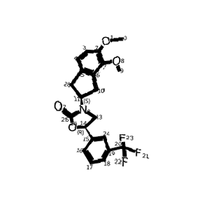 COc1ccc2c(c1OC)C[C@@H](N1C[C@@H](c3cccc(C(F)(F)F)c3)OC1=O)C2